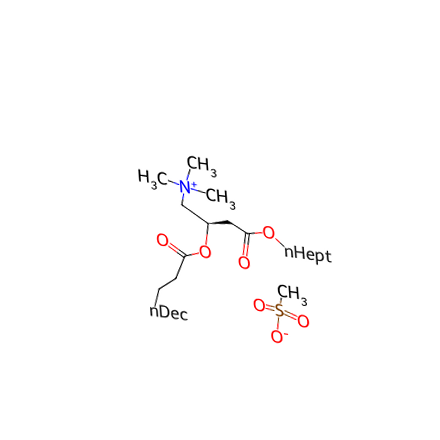 CCCCCCCCCCCCC(=O)O[C@H](CC(=O)OCCCCCCC)C[N+](C)(C)C.CS(=O)(=O)[O-]